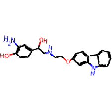 Nc1cc(C(O)CNCCOc2ccc3c(c2)[nH]c2ccccc23)ccc1O